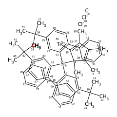 CC1=C(C)C(C)([Si](c2cc(C(C)(C)C)ccc2-c2ccccc2)(c2cc(C(C)(C)C)ccc2-c2ccccc2)c2cc(C(C)(C)C)ccc2-c2ccccc2)[C]([Ti+3])=C1C.[Cl-].[Cl-].[Cl-]